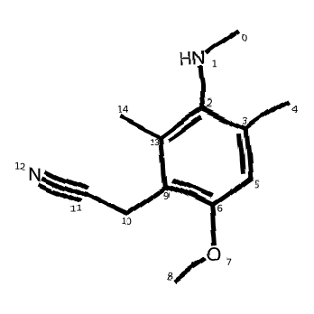 CNc1c(C)cc(OC)c(CC#N)c1C